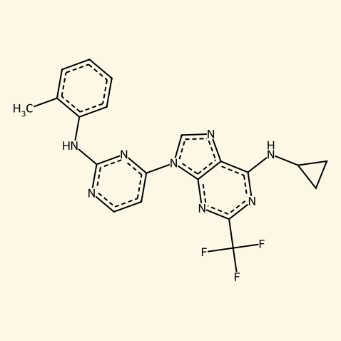 Cc1ccccc1Nc1nccc(-n2cnc3c(NC4CC4)nc(C(F)(F)F)nc32)n1